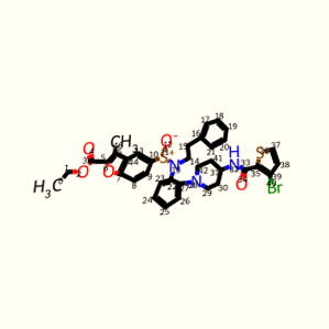 CCOC(=O)c1oc2ccc([S+]([O-])N(CCc3ccccc3)c3ccccc3N3CCC(NC(=O)c4sccc4Br)CC3)cc2c1C